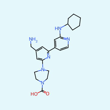 NCc1cc(-c2ccnc(NC3CCCCC3)c2)nc(N2CCN(C(=O)O)CC2)c1